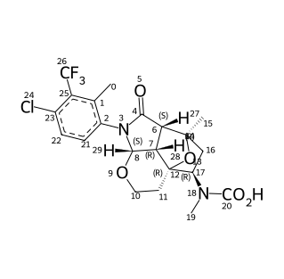 Cc1c(N2C(=O)[C@H]3[C@H]4[C@@H]2OCC[C@@]42O[C@]3(C)C[C@H]2N(C)C(=O)O)ccc(Cl)c1C(F)(F)F